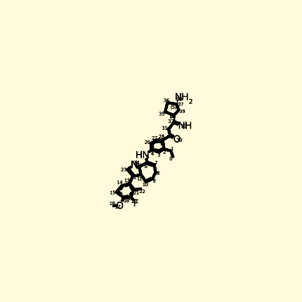 CCc1cc(NC2=CCC=CC3C(c4ccc(OC)c(F)c4C)=CN=C23)ccc1C(=O)CC(=N)[C@H]1CC[C@H](N)C1